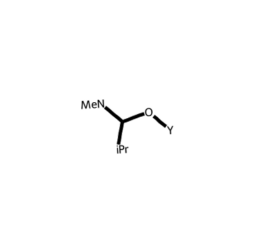 CNC([O][Y])C(C)C